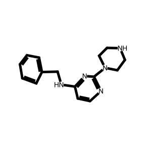 c1ccc(CNc2ccnc(N3CCNCC3)n2)cc1